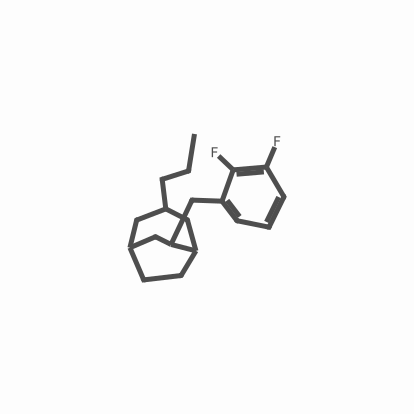 CCCC1CC2CCC(C1)C(Cc1cccc(F)c1F)C2